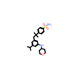 CC(C)c1cc(CC(C)(C)c2ccc(S(N)(=O)=O)cc2)cc(NC2CCOCC2)c1